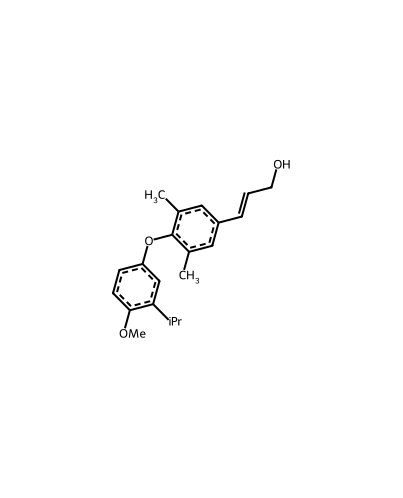 COc1ccc(Oc2c(C)cc(/C=C/CO)cc2C)cc1C(C)C